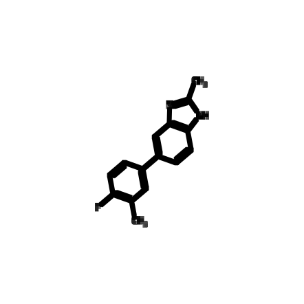 Cc1nc2cc(-c3ccc(F)c(C)c3)ccc2[nH]1